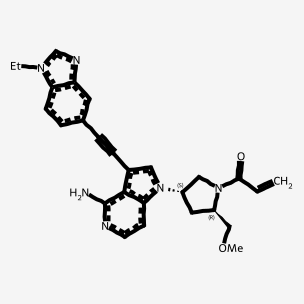 C=CC(=O)N1C[C@@H](n2cc(C#Cc3ccc4c(c3)ncn4CC)c3c(N)nccc32)C[C@@H]1COC